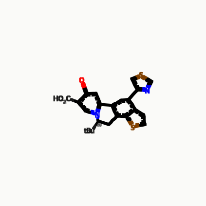 CC(C)(C)[C@@H]1Cc2c(cc(-c3cscn3)c3ccsc23)-c2cc(=O)c(C(=O)O)cn21